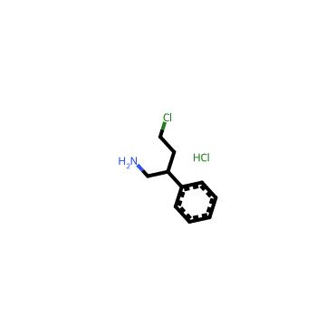 Cl.NCC(CCCl)c1ccccc1